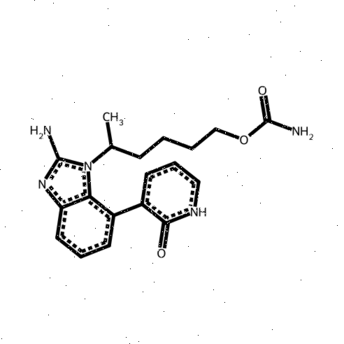 CC(CCCCOC(N)=O)n1c(N)nc2cccc(-c3ccc[nH]c3=O)c21